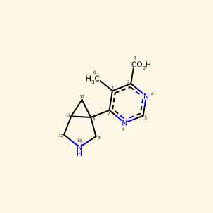 Cc1c(C(=O)O)n[c]nc1C12CNCC1C2